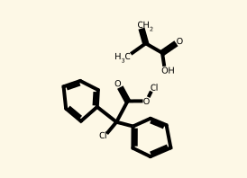 C=C(C)C(=O)O.O=C(OCl)C(Cl)(c1ccccc1)c1ccccc1